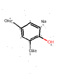 COc1cc(C=O)ccc1O.[Na]